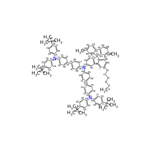 CCCCCCc1ccc(C2(c3ccc(N(c4ccc(-c5ccc(N(c6ccc(C(C)(C)C)cc6)c6ccc(C(C)(C)C)cc6)cc5)cc4)c4ccc(-c5ccc(N(c6ccc(C(C)(C)C)cc6)c6ccc(C(C)(C)C)cc6)cc5)cc4)cc3)c3cc(C)ccc3-c3ccc(C)cc32)cc1